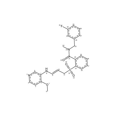 COc1ccncc1NC=CCS(=O)(=O)c1ccccc1C(=O)N(C)Cc1cccc(F)c1